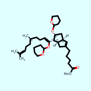 COC(=O)CCCCC1=C[C@@H]2C[C@@H](OC3CCCCO3)[C@@H](C(=CCC[C@H](C)CCC=C(C)C)OC3CCCCO3)[C@@H]2C1